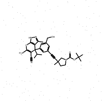 Cc1n[nH]c2c1C(c1cc(C#CC3(C)CCN(C(=O)OC(C)(C)C)C3)cc(CO)c1)(C(C)C)C(C#N)=C(N)O2